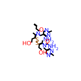 C=CCC(=O)N(Cc1cnc(C)nc1N)C(C)=C(CCO)SSC(CCO)=C(C)N(C=O)Cc1cnc(C)nc1N